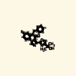 CC(C)(O)c1noc(-c2ncn3c2c(=O)n(Cc2ccccn2)c2cc(F)ccc23)n1